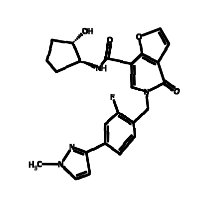 Cn1ccc(-c2ccc(Cn3cc(C(=O)N[C@H]4CCC[C@@H]4O)c4occc4c3=O)c(F)c2)n1